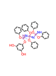 N=P(N=P(/N=[PH](/Oc1ccccc1)Oc1cc(O)cc(O)c1)(Oc1ccccc1)Oc1ccccc1)(Oc1ccccc1)Oc1ccccc1